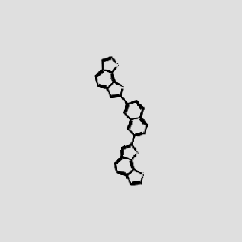 c1cc2ccc3cc(-c4ccc5ccc(-c6cc7ccc8ccsc8c7s6)cc5c4)sc3c2s1